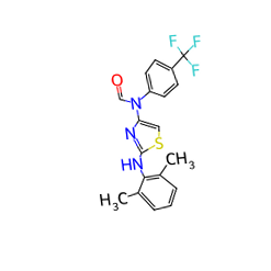 Cc1cccc(C)c1Nc1nc(N(C=O)c2ccc(C(F)(F)F)cc2)cs1